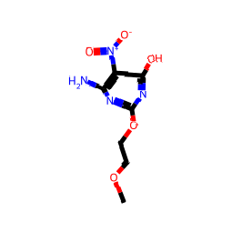 COCCOc1nc(N)c([N+](=O)[O-])c(O)n1